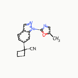 Cc1cnc(-n2ncc3ccc(C4(C#N)CCC4)cc32)o1